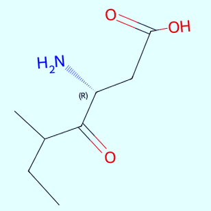 CCC(C)C(=O)[C@H](N)CC(=O)O